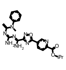 C=C(/N=C(N)\N=C(/N)c1noc(-c2ccc(C(=O)OC(C)C)nc2)n1)N(C)c1ccccc1